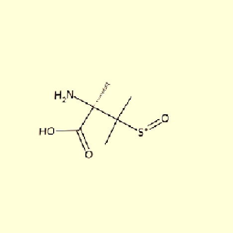 CC(C)([S+]=O)[C@](C)(N)C(=O)O